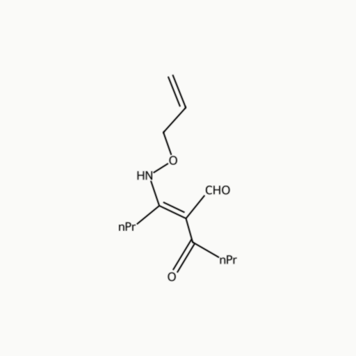 C=CCONC(CCC)=C(C=O)C(=O)CCC